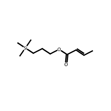 CC=CC(=O)OCCC[Si](C)(C)C